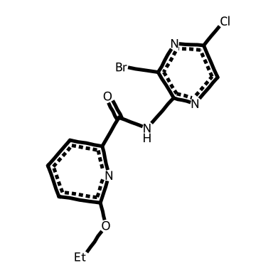 CCOc1cccc(C(=O)Nc2ncc(Cl)nc2Br)n1